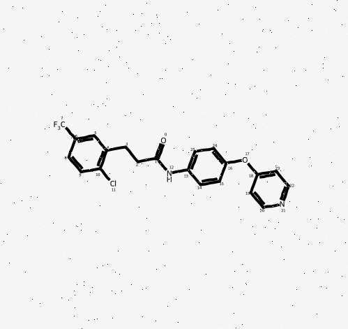 O=C(CCc1cc(C(F)(F)F)ccc1Cl)Nc1ccc(Oc2ccncc2)cc1